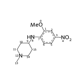 COc1cc([N+](=O)[O-])ccc1NC1CCN(C)CC1